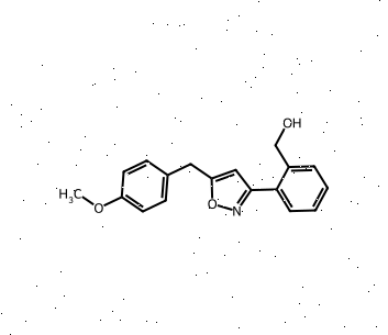 COc1ccc(Cc2cc(-c3ccccc3CO)no2)cc1